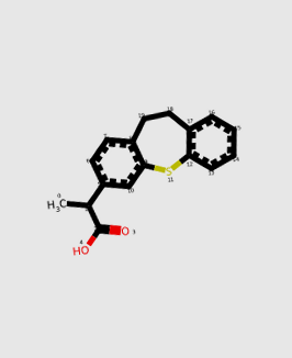 CC(C(=O)O)c1ccc2c(c1)Sc1ccccc1CC2